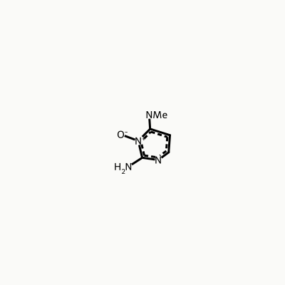 CNc1ccnc(N)[n+]1[O-]